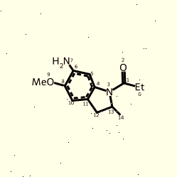 CCC(=O)N1c2cc(N)c(OC)cc2CC1C